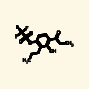 CCCc1c(OS(=O)(=O)C(F)(F)F)ccc(C(=O)CC)c1O